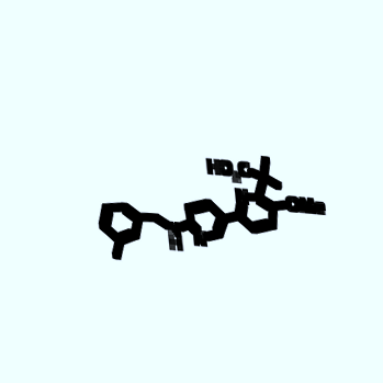 COc1ccc(-c2ccc(NCc3cccc(C)c3)nc2)nc1C(C)(C)C(=O)O